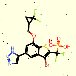 O=P(O)(O)C(F)(F)c1sc2c(OCC3CC3(F)F)cc(-c3cnn[nH]3)cc2c1Br